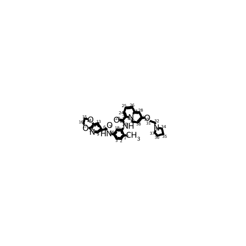 Cc1ccc(NC(=O)c2cnc3c(c2)OCCO3)cc1NC(=O)C1=CC=CC2=CC(OCCN3CCCC3)=CCN21